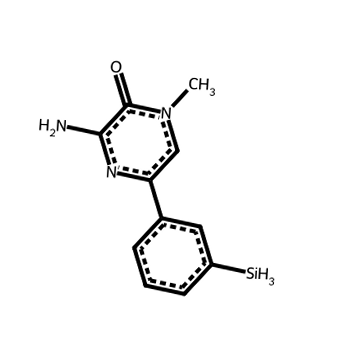 Cn1cc(-c2cccc([SiH3])c2)nc(N)c1=O